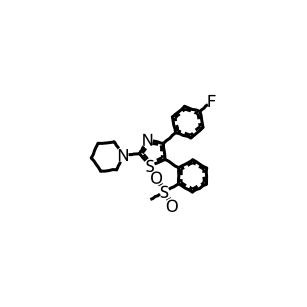 CS(=O)(=O)c1ccccc1-c1sc(N2CCCCC2)nc1-c1ccc(F)cc1